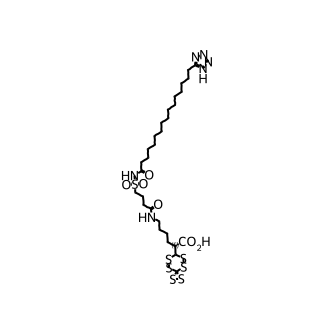 O=C(CCCS(=O)(=O)NC(=O)CCCCCCCCCCCCCCCc1nnn[nH]1)NCCCC[C@@H](C(=O)O)C1SSC2(SS1)SS2